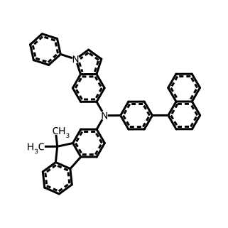 CC1(C)c2ccccc2-c2ccc(N(c3ccc(-c4cccc5ccccc45)cc3)c3ccc4c(ccn4-c4ccccc4)c3)cc21